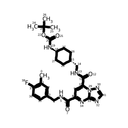 Cc1cc(CNC(=O)c2cc(C(=O)NC[C@H]3CC[C@H](NC(=O)OC(C)(C)C)CC3)n3ncnc3n2)ccc1F